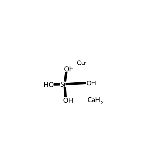 O[Si](O)(O)O.[CaH2].[Cu]